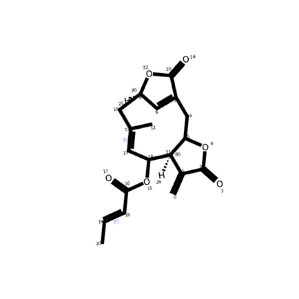 C=C1C(=O)OC2CC3=C[C@@H](C/C(C)=C/C(OC(=O)/C=C/C)[C@H]12)OC3=O